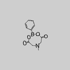 CN1CC(=O)OB(c2ccccc2)OC(=O)C1